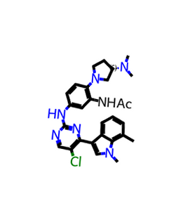 CC(=O)Nc1cc(Nc2ncc(Cl)c(-c3cn(C)c4c(C)cccc34)n2)ccc1N1CC[C@H](N(C)C)C1